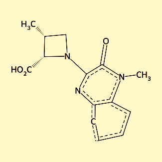 C[C@@H]1CN(c2nc3ccccc3n(C)c2=O)[C@@H]1C(=O)O